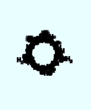 CCCC[C@H]1C(=O)N(C)[C@@H](CCCC)C(=O)N[C@@H](C)C(O)N[C@H](C(=O)NCC(N)=O)CSCC(=O)N[C@@H](Cc2ccc(O)cc2)C(=O)N(C)[C@@H](C)C(=O)N[C@@H](CC(=O)O)C(=O)N2CCC[C@H]2C(=O)N[C@@H](Cc2cnc[nH]2)C(=O)N[C@@H](CCC(N)=O)C(=O)N2CCC[C@H]2C(=O)N[C@@H](Cc2c[nH]c3ccccc23)C(=O)N[C@@H](CO)C(=O)N[C@@H](Cc2c[nH]c3ccccc23)C(=O)N1C